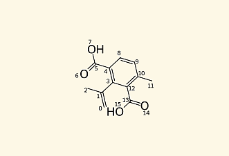 C=C(C)c1c(C(=O)O)ccc(C)c1C(=O)O